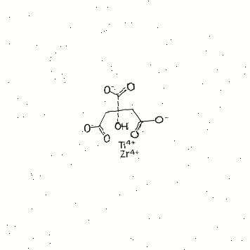 O=C([O-])CC(O)(CC(=O)[O-])C(=O)[O-].[Ti+4].[Zr+4]